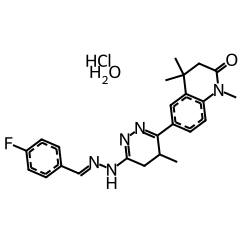 CC1CC(NN=Cc2ccc(F)cc2)=NN=C1c1ccc2c(c1)C(C)(C)CC(=O)N2C.Cl.O